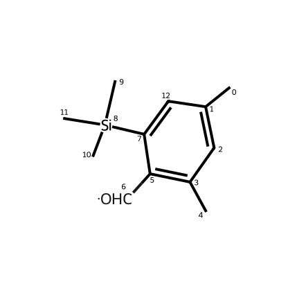 Cc1cc(C)c([C]=O)c([Si](C)(C)C)c1